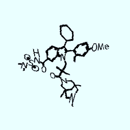 COc1ccc(-c2c(C3CCCCC3)c3ccc(C(=O)NS(=O)(=O)N(C)C)cc3n2CC(C)(C)C(=O)N2CC3(C)CN(C)CC(C)(C2)C3)c(C)c1